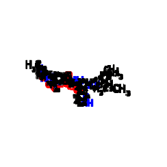 C=C(CCC)C1=C(CN2CCN(c3ccc(C(=O)NS(=O)(=O)c4ccc(NC[C@@H]5CN(C)CCO5)c([N+](=O)[O-])c4)c(Oc4cnc5[nH]ccc5c4)c3)CC2)CCC(C)(C)C1